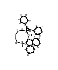 c1ccc(C2=C(c3ccccc3)NC3(CCCCCN2)C(c2ccccc2)=C3c2ccccc2)cc1